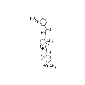 COc1cccc(C(=O)NC[C@H]2CC[C@H]3[C@@H]4CC[C@@H]5C[C@](C)(O)CC[C@@H]5[C@H]4CC[C@]23C)c1